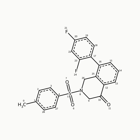 Cc1ccc(S(=O)(=O)N2CC(=O)c3cccc(-c4ccc(F)cc4F)c3C2)cc1